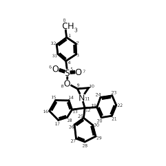 Cc1ccc(S(=O)(=O)OC2CN2C(c2ccccc2)(c2ccccc2)c2ccccc2)cc1